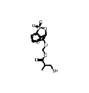 CC(CS)C(=O)OCOc1c2c3oc1cc3S(=O)(=O)O2